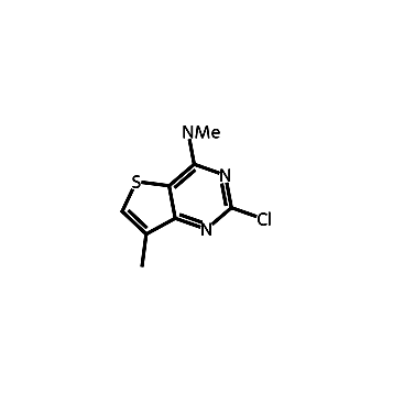 CNc1nc(Cl)nc2c(C)csc12